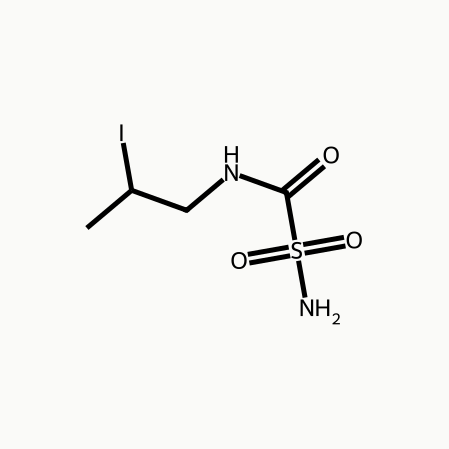 CC(I)CNC(=O)S(N)(=O)=O